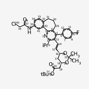 CC(C)c1nc2c(c(-c3ccc(F)cc3)c1/C=C/[C@@H]1C[C@H](CC(=O)OC(C)(C)C)OC(C)(C)O1)CCCc1ccc(NC(=O)CCl)cc1-2